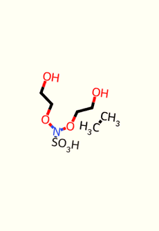 CC.O=S(=O)(O)N(OCCO)OCCO